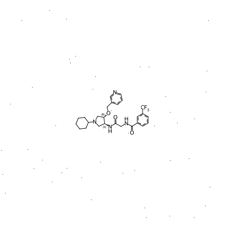 O=C(CNC(=O)c1cccc(C(F)(F)F)c1)N[C@H]1CN(C2CCCCC2)C[C@H]1OCc1cccnc1